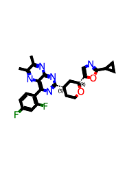 Cc1nc2nc([C@H]3CCO[C@@H](c4cnc(C5CC5)o4)C3)nc(-c3ccc(F)cc3F)c2nc1C